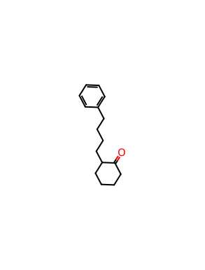 O=C1CCCCC1CCCCc1ccccc1